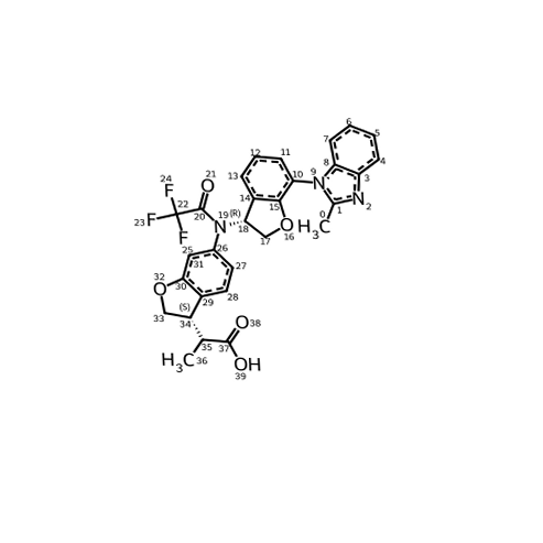 Cc1nc2ccccc2n1-c1cccc2c1OC[C@@H]2N(C(=O)C(F)(F)F)c1ccc2c(c1)OC[C@H]2C(C)C(=O)O